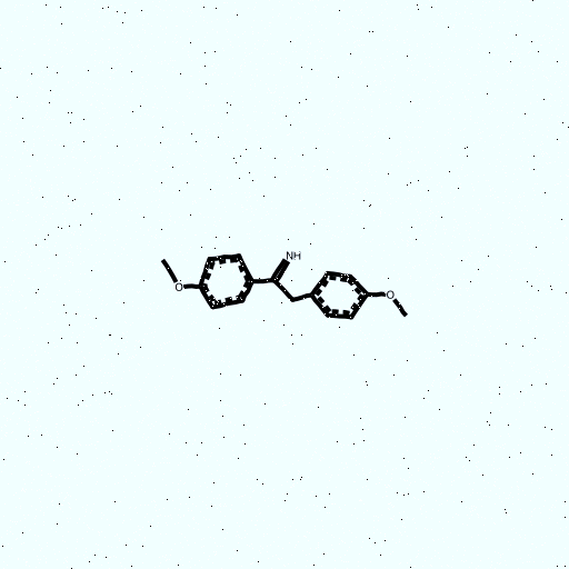 COc1ccc(CC(=N)c2ccc(OC)cc2)cc1